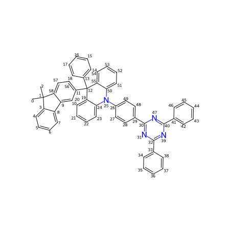 CC1(C)c2ccccc2-c2cc(C3(c4ccccc4)c4ccccc4N(c4ccc(-c5nc(-c6ccccc6)nc(-c6ccccc6)n5)cc4)c4ccccc43)ccc21